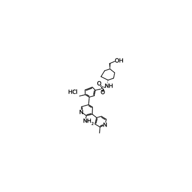 Cc1cc(-c2cc(-c3cc(S(=O)(=O)N[C@H]4CC[C@H](CO)CC4)ccc3C)cnc2N)ccn1.Cl